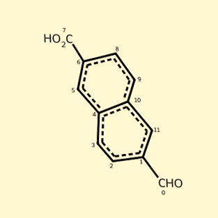 O=Cc1ccc2cc(C(=O)O)ccc2c1